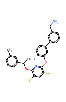 NCc1cccc(-c2cccc(Oc3nc(OC(C(=O)O)c4cccc(C(F)(F)F)c4)c(F)cc3F)c2)c1